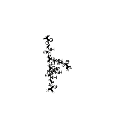 C=C(C)C(=O)OCCNC(=O)OCC(COCC(COC(=O)NCCOC(=O)C(=C)C)OP(=O)(O)O)OC(=O)NCCOC(=O)C(=C)C